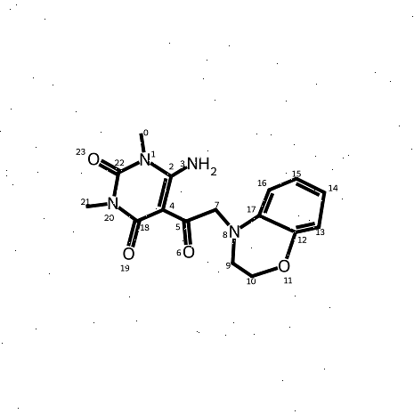 Cn1c(N)c(C(=O)CN2CCOc3ccccc32)c(=O)n(C)c1=O